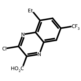 CCc1cc(C(F)(F)F)cc2nc(C(=O)O)c(Cl)nc12